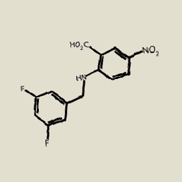 O=C(O)c1cc([N+](=O)[O-])ccc1NCc1cc(F)cc(F)c1